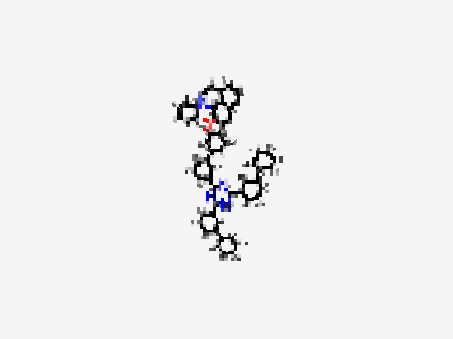 C1=CN(c2ccccc2)c2c3oc4cc(-c5cccc(-c6nc(-c7cccc(-c8ccccc8)c7)nc(-c7cccc(-c8ccccc8)c7)n6)c5)ccc4c3cc3cccc1c23